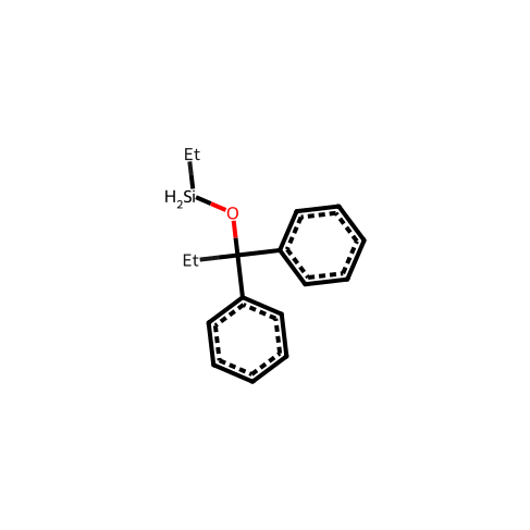 CC[SiH2]OC(CC)(c1ccccc1)c1ccccc1